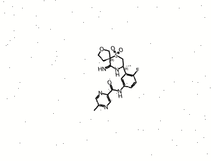 Cc1cnc(C(=O)Nc2ccc(F)c([C@]3(C)CS(=O)(=O)[C@]4(CCOC4)C(=N)N3)c2)cn1